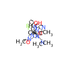 C=CC(=O)N1CC(C)N2c3c(c(=O)n(-c4c(C)ccnc4C(C)C)c4nc(-c5c(O)cccc5F)c(F)cc34)N(CCCN(C)C)CC2C1